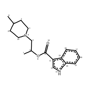 CC1CCN(CC(C)OC(=O)c2c[nH]c3ccccc23)CC1